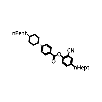 CCCCCCCc1ccc(OC(=O)c2ccc([C@H]3CC[C@H](CCCCC)CC3)cc2)c(C#N)c1